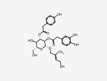 C/C(=C\CO)CO[C@@H]1O[C@H](CO)[C@@H](O)[C@H](OC(=O)Cc2ccc(O)cc2)[C@H]1OC(=O)Cc1ccc(O)c(O)c1